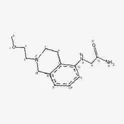 COCCN1CCc2c(cccc2NCC(N)=O)C1